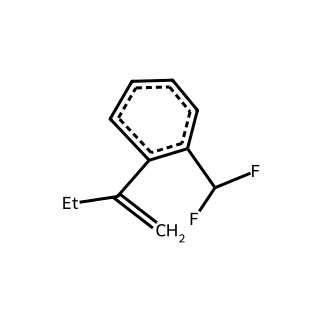 C=C(CC)c1ccccc1C(F)F